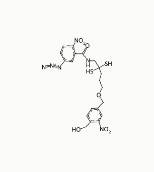 [N-]=[N+]=Nc1ccc([N+](=O)[O-])c(C(=O)NCC(S)(S)CCCOCc2ccc(CO)c([N+](=O)[O-])c2)c1